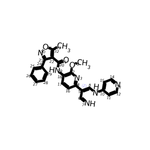 COc1nc(/C(C=N)=C/Nc2ccncc2)ccc1NC(=O)c1c(-c2ccccc2)noc1C